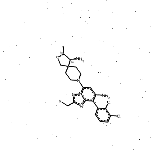 C[C@@H]1OCC2(CCN(c3cc(N)c(-c4cccc(Cl)c4Cl)c4nc(CF)nn34)CC2)[C@@H]1N